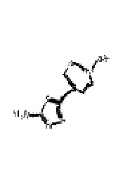 CCC[n+]1ccc(-c2nnc(N)s2)cn1